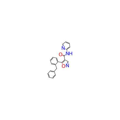 O=C(Nc1ccccn1)c1cnoc1-c1ccccc1Cc1ccccc1